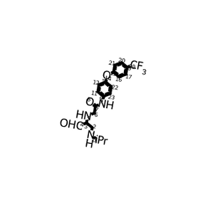 CC(C)NCC(C=O)NCC(=O)Nc1ccc(Oc2ccc(C(F)(F)F)cc2)cc1